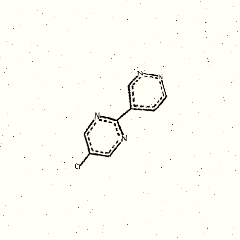 Clc1cnc(-c2ccnnc2)nc1